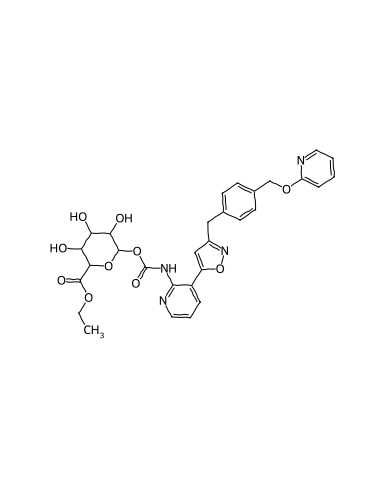 CCOC(=O)C1OC(OC(=O)Nc2ncccc2-c2cc(Cc3ccc(COc4ccccn4)cc3)no2)C(O)C(O)C1O